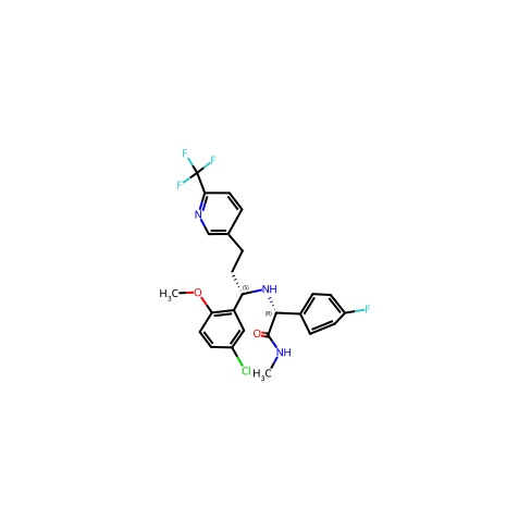 CNC(=O)[C@H](N[C@@H](CCc1ccc(C(F)(F)F)nc1)c1cc(Cl)ccc1OC)c1ccc(F)cc1